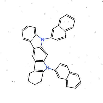 c1ccc2cc(-n3c4c(c5cc6c7ccccc7n(-c7ccc8ccccc8c7)c6cc53)CCCC4)ccc2c1